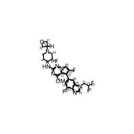 [2H]C1(N2CC[C@@H](Nc3nc(OC)c4c(-c5cc(F)c6ncn(CC(F)F)c6c5)c(F)cn4n3)[C@@H](F)C2)COC1